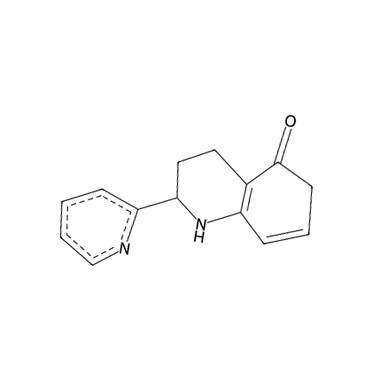 O=C1CC=CC2=C1CCC(c1ccccn1)N2